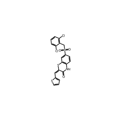 O=C1Nc2ccc(S(=O)(=O)Cc3c(Cl)cccc3Cl)cc2S/C1=C/c1cccs1